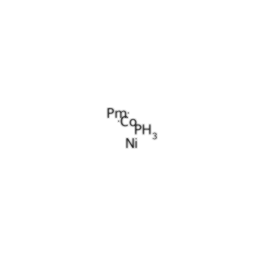 P.[Co].[Ni].[Pm]